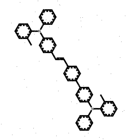 Cc1ccccc1N(c1ccccc1)c1ccc(/C=C/c2ccc(-c3ccc(N(c4ccccc4)c4ccccc4C)cc3)cc2)cc1